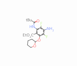 CCOC(=O)c1c(NC(=O)C(C)(C)C)c(F)c(N)c(F)c1OC1CCCCO1